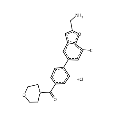 Cl.NCc1cc2cc(-c3ccc(C(=O)N4CCOCC4)cc3)cc(Cl)c2o1